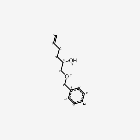 C=CCC[C@H](O)COCc1ccccc1